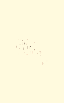 C[C@@H]1CCN(c2c(NC(=O)c3ccc(=O)n(-c4c(F)cccc4F)n3)ccc3nn(C4CC(F)(F)C4)cc23)C1